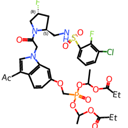 CCC(=O)OC(C)OP(=O)(COc1ccc2c(C(C)=O)cn(CC(=O)N3C[C@H](F)C[C@H]3CNS(=O)(=O)c3cccc(Cl)c3F)c2c1)OC(C)OC(=O)CC